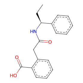 CC[C@H](NC(=O)Cc1ccccc1C(=O)O)c1ccccc1